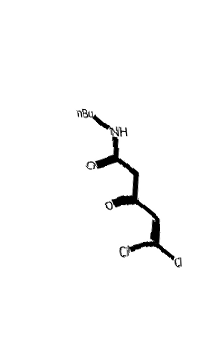 CCCCNC(=O)CC(=O)C=C(Cl)Cl